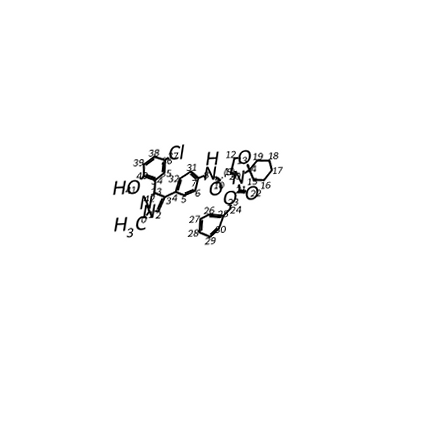 Cn1cc(-c2ccc(NC(=O)[C@@H]3COC4(CCCCC4)N3C(=O)OCc3ccccc3)cc2)c(-c2cc(Cl)ccc2O)n1